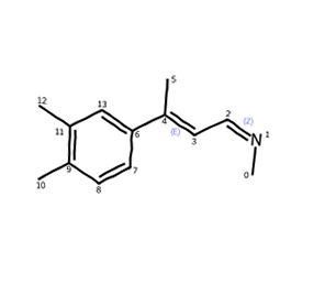 C/N=C\C=C(/C)c1ccc(C)c(C)c1